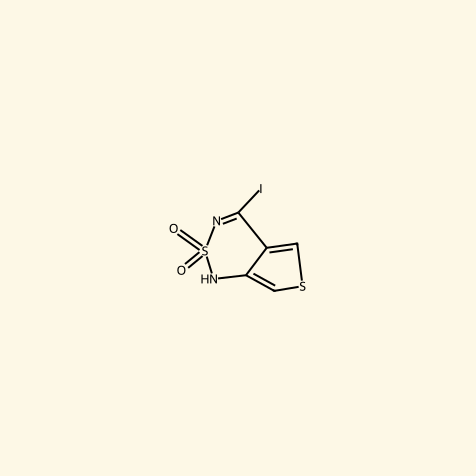 O=S1(=O)N=C(I)c2cscc2N1